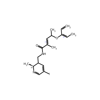 C=C/C(=C\C)OC(C)/C=C(\C)C(=O)NCC1C=C(I)C=N[C@H]1C